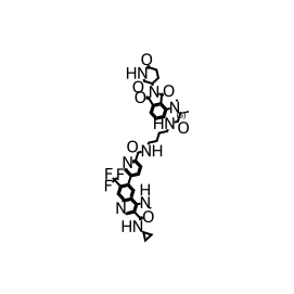 CNc1c(C(=O)NC2CC2)cnc2cc(C(F)(F)F)c(-c3ccc(C(=O)NCCCCNC(=O)[C@H](C)N(C)c4cccc5c4C(=O)N(C4CCC(=O)NC4=O)C5=O)nc3)cc12